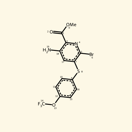 COC(=O)c1nc(Br)c(Sc2ccc(OC(F)(F)F)cc2)cc1N